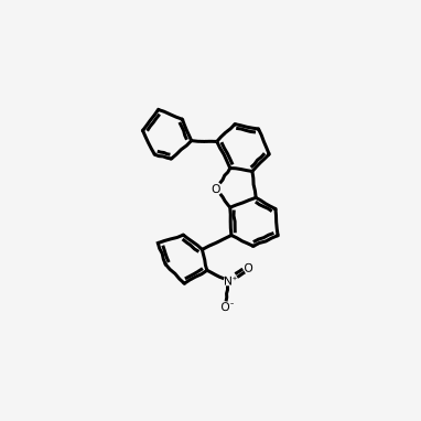 O=[N+]([O-])c1ccccc1-c1cccc2c1oc1c(-c3ccccc3)cccc12